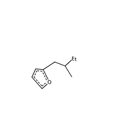 CCC(C)Cc1ccco1